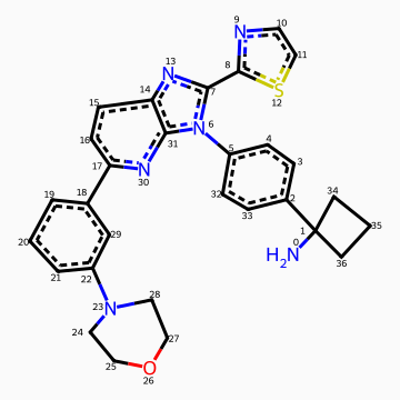 NC1(c2ccc(-n3c(-c4nccs4)nc4ccc(-c5cccc(N6CCOCC6)c5)nc43)cc2)CCC1